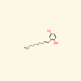 CCCCCCCC=Cc1cc(O)ccc1O